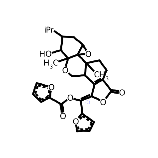 CC(C)C1CC2OC23C2(C)CCC4=C(/C(=C(\OC(=O)c5ccco5)c5ccco5)OC4=O)C2COC3(C)C1O